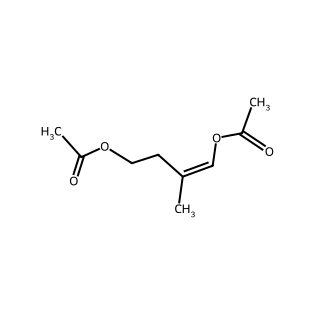 CC(=O)OC=C(C)CCOC(C)=O